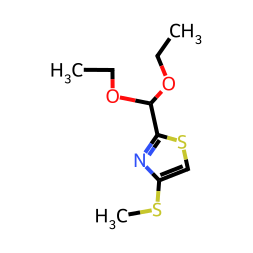 CCOC(OCC)c1nc(SC)cs1